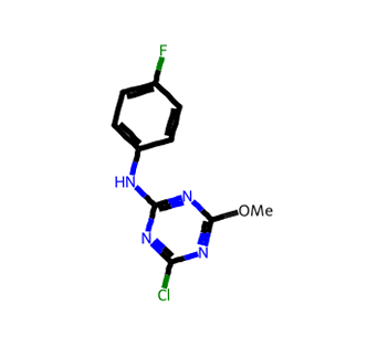 COc1nc(Cl)nc(Nc2ccc(F)cc2)n1